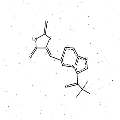 CC(C)(C)C(=O)c1cnc2ccc(/C=C3\SC(=O)NC3=O)cn12